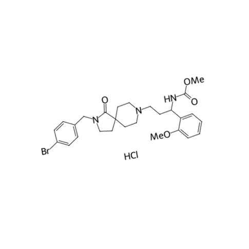 COC(=O)NC(CCN1CCC2(CC1)CCN(Cc1ccc(Br)cc1)C2=O)c1ccccc1OC.Cl